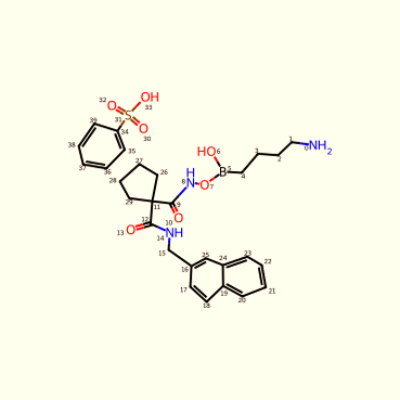 NCCCCB(O)ONC(=O)C1(C(=O)NCc2ccc3ccccc3c2)CCCC1.O=S(=O)(O)c1ccccc1